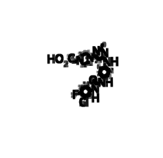 Cc1nc(Nc2ccc(NC(=O)Nc3ccc(F)c(Cl)c3)cc2)cc(N2CCN(CC(=O)O)CC2)n1